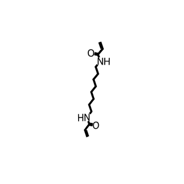 C=CC(=O)NCCCCCCCCNC(=O)C=C